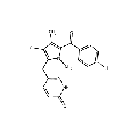 Cc1c(Cl)c(Cc2ccc(=O)[nH]n2)n(C)c1C(=O)c1ccc(Cl)cc1